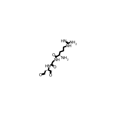 N=C(N)NCCC[C@H](N)C(=O)NCC(=O)N[C@H]([C]=O)C[C]=O